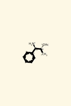 CC(=O)O[C@H](C)[C@H](N)c1ccccc1